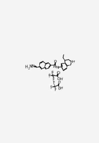 CCC1CNCc2ccc(NC(=O)c3ccc4cc(C=NN)ccc4c3)cc21.O=C(O)C(F)(F)F.O=C(O)C(F)(F)F